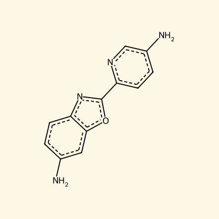 Nc1ccc(-c2nc3ccc(N)cc3o2)nc1